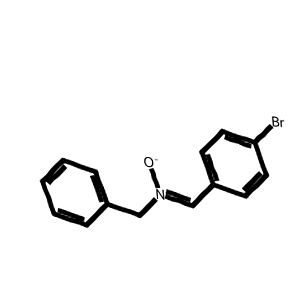 [O-][N+](=Cc1ccc(Br)cc1)Cc1ccccc1